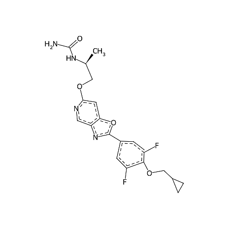 C[C@@H](COc1cc2oc(-c3cc(F)c(OCC4CC4)c(F)c3)nc2cn1)NC(N)=O